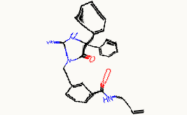 C=CCNC(=O)c1cccc(CN2C(=N)NC(c3ccccc3)(c3ccccc3)C2=O)c1